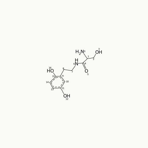 NC(CO)C(=O)NCCc1cc(O)ccc1O